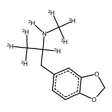 [2H]N(C([2H])([2H])[2H])C([2H])(Cc1ccc2c(c1)OCO2)C([2H])([2H])[2H]